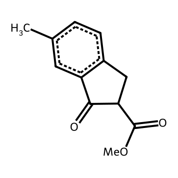 COC(=O)C1Cc2ccc(C)cc2C1=O